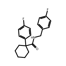 O=C(NCc1ccc(F)cc1)C1(c2ccc(F)cc2)CCCCC1